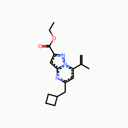 C=C(C)c1cc(CC2CCC2)nc2cc(C(=O)OCC)nn12